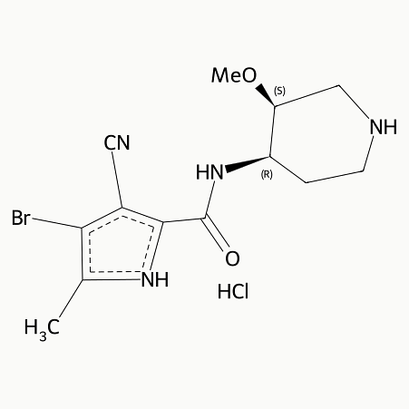 CO[C@H]1CNCC[C@H]1NC(=O)c1[nH]c(C)c(Br)c1C#N.Cl